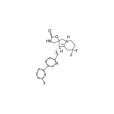 O=C1NCC2(C[C@H]3CCC(F)(F)C[C@H]3[C@@H]2/C=C/c2ccc(-c3cccc(F)c3)cn2)O1